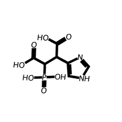 O=C(O)C(c1c[nH]cn1)C(C(=O)O)P(=O)(O)O